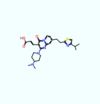 CC(C)c1csc(CCc2ccn3c(=O)c(C=CC(=O)O)c(N4CCC(N(C)C)CC4)nc3c2)n1